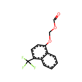 O=[C]OCOc1ccc(C(F)(F)F)c2ccccc12